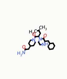 CC(C)CC(C(=O)N1CCC(CC(N)=O)CC1)N1CCNC(CC2CCCCC2)C1=O